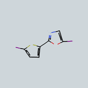 Ic1cnc(-c2ccc(I)s2)o1